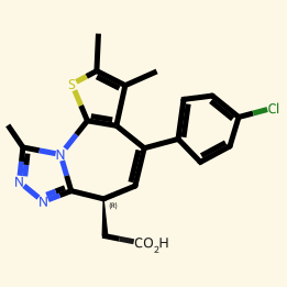 Cc1sc2c(c1C)C(c1ccc(Cl)cc1)=C[C@@H](CC(=O)O)c1nnc(C)n1-2